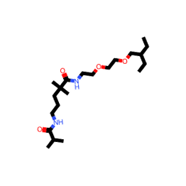 CCC(CC)COCCOCCNC(=O)C(C)(C)CCCNC(=O)C(C)C